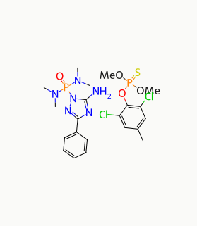 CN(C)P(=O)(N(C)C)n1nc(-c2ccccc2)nc1N.COP(=S)(OC)Oc1c(Cl)cc(C)cc1Cl